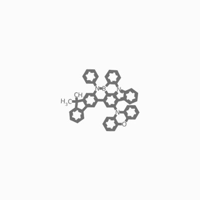 CC1(C)c2ccccc2-c2cc3c(cc21)N(c1ccccc1)B1c2ccccc2-n2c4ccccc4c4c(N5c6ccccc6Oc6ccccc65)cc-3c1c42